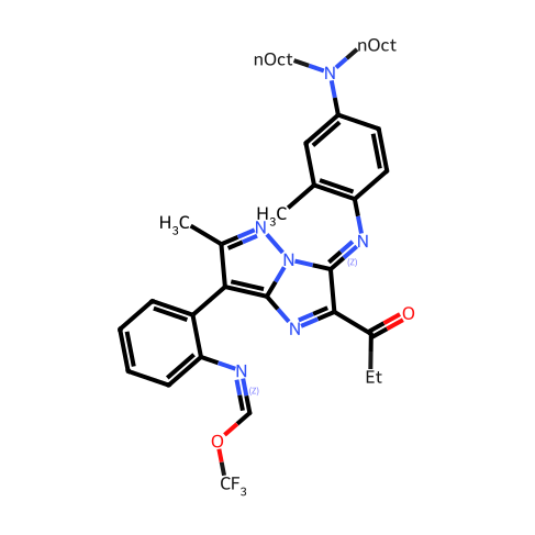 CCCCCCCCN(CCCCCCCC)c1ccc(/N=C2/C(C(=O)CC)=Nc3c(-c4ccccc4/N=C\OC(F)(F)F)c(C)nn32)c(C)c1